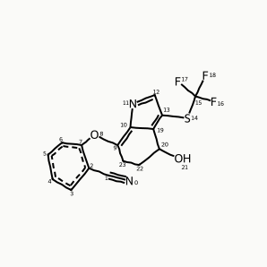 N#Cc1ccccc1OC1=C2N=CC(SC(F)(F)F)=C2C(O)CC1